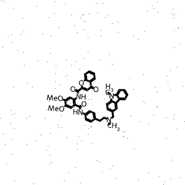 COc1cc(NC(=O)c2cc(=O)c3ccccc3o2)c(C(=O)Nc2ccc(CCN(C)Cc3ccc4c(c3)c3ccccc3n4C)cc2)cc1OC